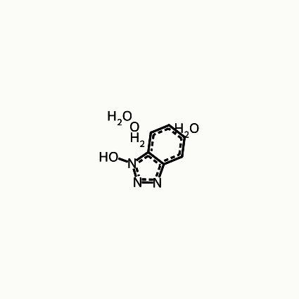 O.O.O.On1nnc2ccccc21